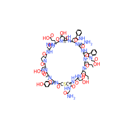 CCCC[C@H]1C(=O)N(C)[C@@H](CCCC)C(=O)N[C@@H](CC(=O)O)C(=O)N[C@H](C(=O)NCC(N)=O)CSCC(=O)N[C@@H](Cc2ccc(O)cc2)C(=O)N(C)[C@@H](C)C(=O)N[C@@H](CC(=O)O)C(=O)N2CCCC2C(=O)N[C@@H](CN)C(=O)N[C@@H](CCC(=O)O)C(=O)N2C[C@H](O)C[C@H]2C(=O)N[C@@H](Cc2c[nH]c3ccccc23)C(=O)N[C@@H](CCN)C(=O)N[C@@H](Cc2cn(CC(=O)O)c3ccccc23)C(=O)N1C